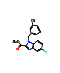 COC(=O)c1cc2cc(F)ccc2n1Cc1cccc(C#N)c1